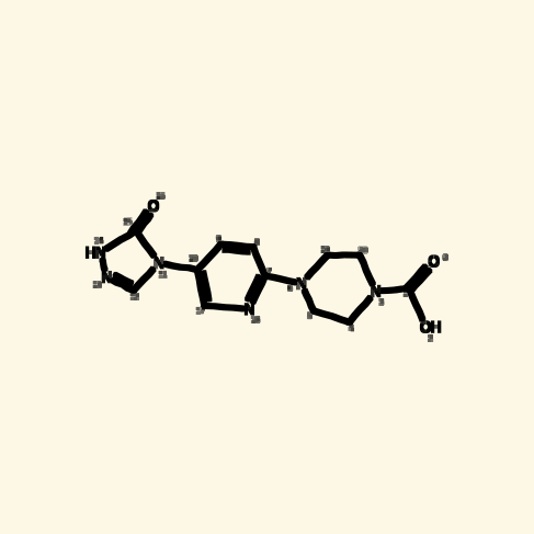 O=C(O)N1CCN(c2ccc(-n3cn[nH]c3=O)cn2)CC1